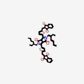 CCCCC(CC)CN1C(=O)C2=C(c3ccc(C=C4C(=O)c5ccccc5C4=O)s3)N(CC(CC)CCCC)C(=O)C2=C1c1ccc(C=C2C(=O)c3ccccc3C2=O)s1